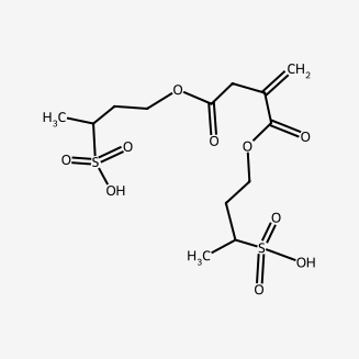 C=C(CC(=O)OCCC(C)S(=O)(=O)O)C(=O)OCCC(C)S(=O)(=O)O